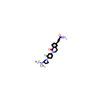 CN(C)[C@@H]1CCN(c2ccc(N3CCc4cc(C#CC(N)=O)ccc4C3=O)cc2F)C1